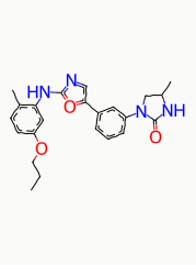 CCCOc1ccc(C)c(Nc2ncc(-c3cccc(N4CC(C)NC4=O)c3)o2)c1